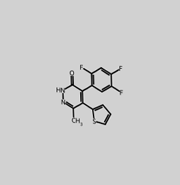 Cc1n[nH]c(=O)c(-c2cc(F)c(F)cc2F)c1-c1cccs1